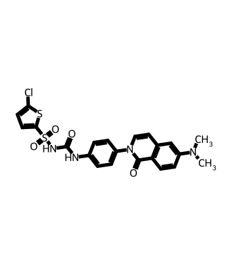 CN(C)c1ccc2c(=O)n(-c3ccc(NC(=O)NS(=O)(=O)c4ccc(Cl)s4)cc3)ccc2c1